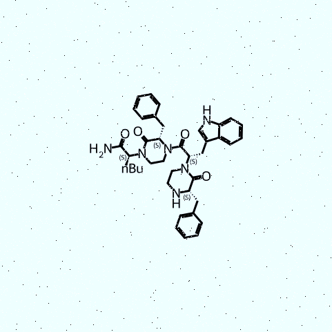 CCCC[C@@H](C(N)=O)N1CCN(C(=O)[C@H](Cc2c[nH]c3ccccc23)N2CCN[C@@H](Cc3ccccc3)C2=O)[C@@H](Cc2ccccc2)C1=O